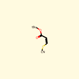 CC(C)(C)OC(=O)/C=C\SC#N